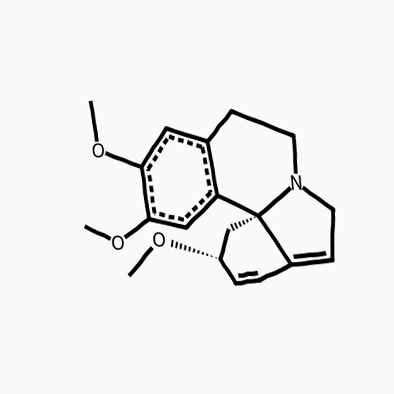 COc1cc2c(cc1OC)[C@]13C[C@@H](OC)C=CC1=CCN3CC2